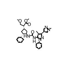 COCC(C(=O)OC)[C@@H]1C[C@@H](NC(=O)Nc2c(C)c(-c3cnn(C)c3)nn2-c2ccccc2)[C@H](c2ccccc2)C1